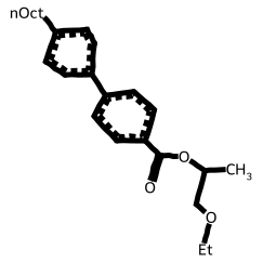 CCCCCCCCc1ccc(-c2ccc(C(=O)OC(C)COCC)cc2)cc1